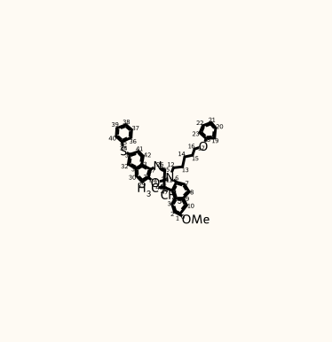 COc1ccc2c3c(ccc2c1)N(CCCCCOc1ccccc1)C1(C=Nc2c(ccc4cc(Sc5ccccc5)ccc24)O1)C3(C)C